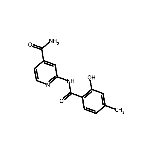 Cc1ccc(C(=O)Nc2cc(C(N)=O)ccn2)c(O)c1